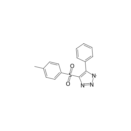 Cc1ccc(S(=O)(=O)C2=C(c3ccccc3)[N]N=N2)cc1